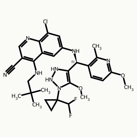 COC1=C([C@@H](Nc2cc(Cl)c3ncc(C#N)c(NCC(C)(C)C)c3c2)c2ccc(OC)nc2C)NNN1C1(C(F)F)CC1